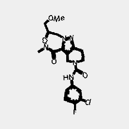 COCC1Cn2nc3c(c2C(=O)N(C)O1)CN(C(=O)Nc1ccc(F)c(Cl)c1)CC3